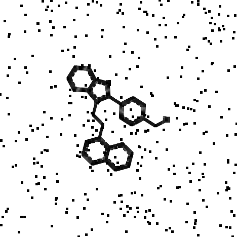 [2H]Cc1ccc(-c2nc3ccccc3n2CCc2cccc3ccccc23)cc1